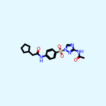 CC(=O)Nc1ncn(S(=O)(=O)c2ccc(NC(=O)CC3CCCC3)cc2)n1